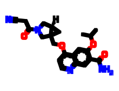 CC(C)Oc1cc2c(OCC34C[C@@H]3CN(C(=O)CC#N)C4)ccnc2cc1C(N)=O